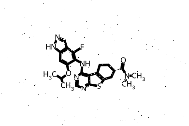 CC(C)Oc1cc2[nH]ncc2c(F)c1Nc1ncnc2sc3c(c12)CC[C@H](C(=O)N(C)C)C3